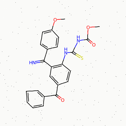 COC(=O)NC(=S)Nc1ccc(C(=O)c2ccccc2)cc1C(=N)c1ccc(OC)cc1